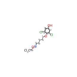 Oc1cc(Cl)c(OCCCCC=NOCC(Cl)(Cl)Cl)c(Cl)c1